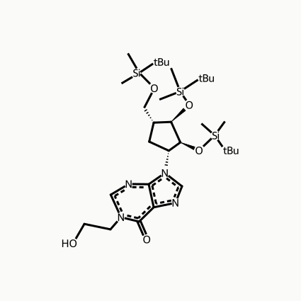 CC(C)(C)[Si](C)(C)OC[C@H]1C[C@@H](n2cnc3c(=O)n(CCO)cnc32)[C@H](O[Si](C)(C)C(C)(C)C)[C@@H]1O[Si](C)(C)C(C)(C)C